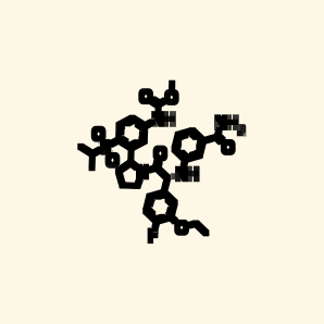 CCOc1cc([C@@H](Nc2cccc(C(N)=O)c2)C(=O)N2CCCC2c2cc(NC(=O)OC)ccc2S(=O)(=O)C(C)C)ccc1F